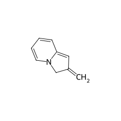 C=C1C=C2C=CC=CN2C1